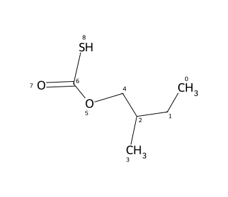 CCC(C)COC(=O)S